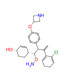 C=C(C1=CCCC=C1Cl)C(c1ccc(OC2CNC2)cc1)C(ON)[C@H]1C=C[C@@H](O)CC1